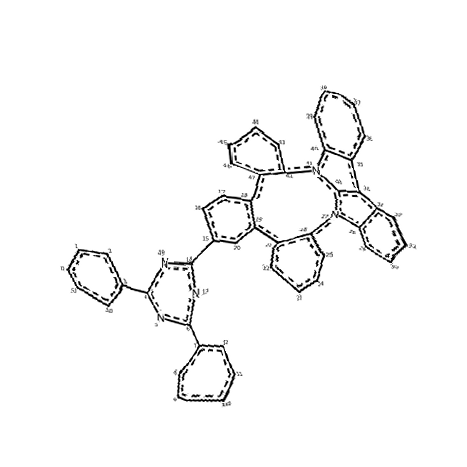 c1ccc(-c2nc(-c3ccccc3)nc(-c3ccc4c(c3)c3ccccc3n3c5ccccc5c5c6ccccc6n(c6ccccc46)c53)n2)cc1